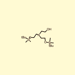 CC(C)(C)[Si](C)(C)OCCN(CCO)CCO[Si](C)(C)C(C)(C)C